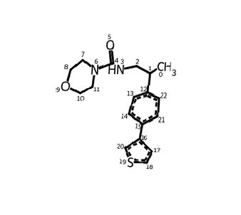 CC(CNC(=O)N1CCOCC1)c1ccc(-c2ccsc2)cc1